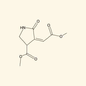 COC(=O)C=C1C(=O)NCC1C(=O)OC